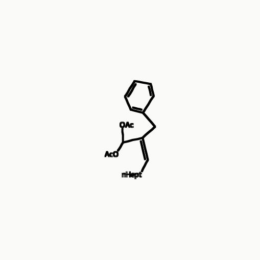 CCCCCCCC=C(Cc1ccccc1)C(OC(C)=O)OC(C)=O